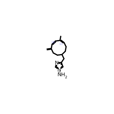 C=C1/C=C\C(C)=C/CCC(Cc2cn(N)cn2)CC1